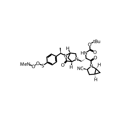 CNOOSc1ccc([C@@H](C)N2C(=O)[C@@H]3C[C@H]2CN3C[C@H](NC(=O)OC(C)(C)C)C(=O)N2[C@H](C#N)C[C@@H]3C[C@@H]32)cc1